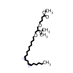 CCCCC/C=C\C/C=C\CCCCCCCCOCC(COCCCC(=O)OC)N(C)C